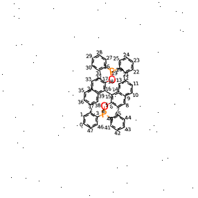 c1ccc(P(Oc2ccc3ccccc3c2-c2c(OP(c3ccccc3)c3ccccc3)ccc3ccccc23)c2ccccc2)cc1